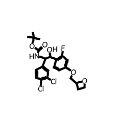 CC(C)(C)OC(=O)NC(c1ccc(Cl)c(Cl)c1)C(O)c1ccc(OCC2CCO2)cc1F